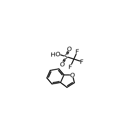 O=S(=O)(O)C(F)(F)F.c1ccc2occc2c1